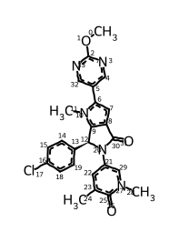 COc1ncc(-c2cc3c(n2C)[C@H](c2ccc(Cl)cc2)N(c2cc(C)c(=O)n(C)c2)C3=O)cn1